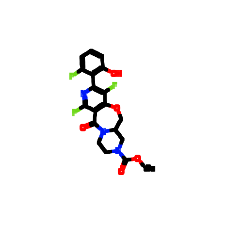 CC(C)(C)OC(=O)N1CCN2C(=O)c3c(F)nc(-c4c(O)cccc4F)c(F)c3OCC2C1